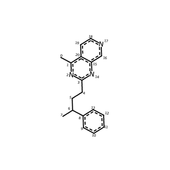 Cc1nc(CCC(C)c2ccccc2)nc2cnccc12